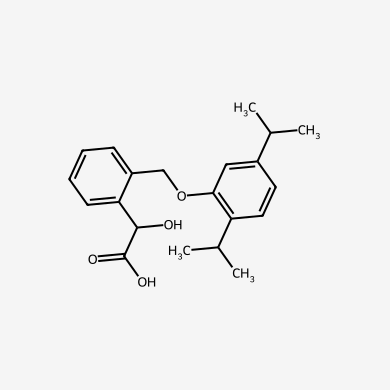 CC(C)c1ccc(C(C)C)c(OCc2ccccc2C(O)C(=O)O)c1